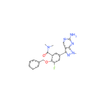 CN(C)C(=O)c1cc(-c2nn(C)c3nc(N)ncc23)cc(F)c1OCc1ccccc1